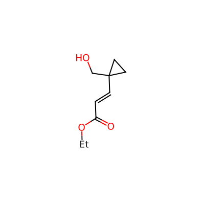 CCOC(=O)/C=C/C1(CO)CC1